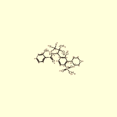 CC(O)(C(NC(=O)c1ccccc1O)c1ccc(S(C)(=O)=O)c(N2CCOCC2)c1Cl)C(F)(F)F